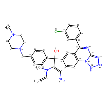 C=CN(C)/C(=C\N)C(O)(c1ccc(CN2CCN(C)CC2)cc1)c1ccc2c(c1)C(c1cccc(Cl)c1)=NC1=NNNN12